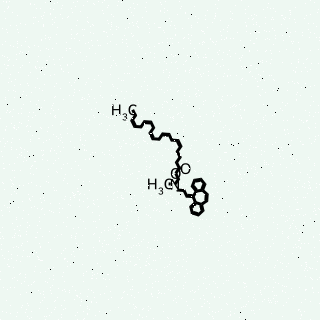 CC/C=C\C/C=C\C/C=C\C/C=C\C/C=C\CCCC(=O)OCN(C)CCC=C1c2ccccc2C=Cc2ccccc21